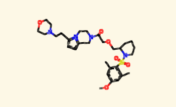 COc1cc(C)c(S(=O)(=O)N2CCCCC2COCC(=O)N2CCn3c(CCN4CCOCC4)ccc3C2)c(C)c1